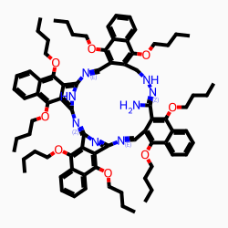 CCCCOc1c2c(c(OCCCC)c3ccccc13)CN/N=C(\N)c1c(c(OCCCC)c3ccccc3c1OCCCC)/C=N/C1=NC(=N\c3[nH]c(c4c(OCCCC)c5ccccc5c(OCCCC)c34)/N=C/2)/c2c1c(OCCCC)c1ccccc1c2OCCCC